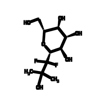 CC(C)(O)C(F)(F)[C@@H]1O[C@H](CO)[C@H](O)[C@H](O)[C@H]1O